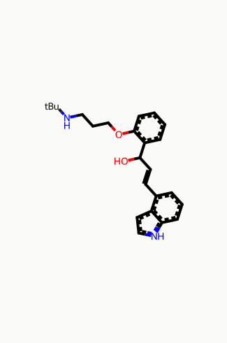 CC(C)(C)NCCCOc1ccccc1C(O)C=Cc1cccc2[nH]ccc12